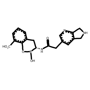 O=C(Cc1cnc2c(c1)CNC2)N[C@H]1Cc2cccc(C(=O)O)c2OB1O